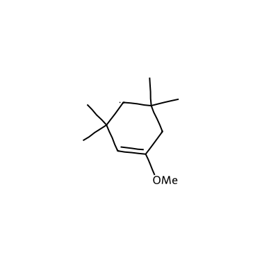 COC1=CC(C)(C)[CH]C(C)(C)C1